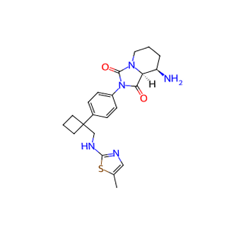 Cc1cnc(NCC2(c3ccc(N4C(=O)[C@@H]5[C@H](N)CCCN5C4=O)cc3)CCC2)s1